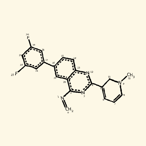 C=Nc1nc(C2=CC=CN(C)C2)nc2ccc(-c3cc(F)cc(F)c3)cc12